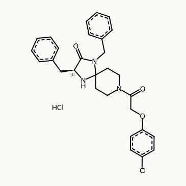 Cl.O=C(COc1ccc(Cl)cc1)N1CCC2(CC1)N[C@@H](Cc1ccccc1)C(=O)N2Cc1ccccc1